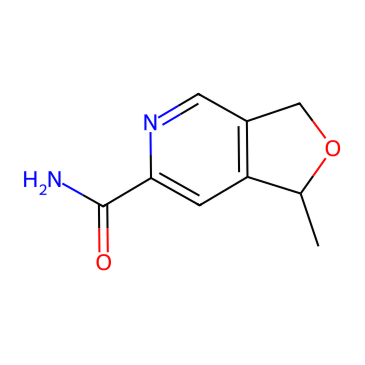 CC1OCc2cnc(C(N)=O)cc21